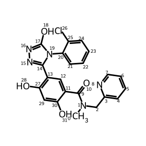 CN(Cc1ccccn1)C(=O)c1cc(-c2nnc(O)n2-c2ccccc2Cl)c(O)cc1O